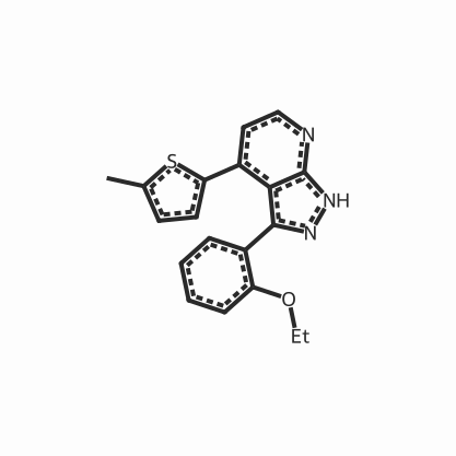 CCOc1ccccc1-c1n[nH]c2nccc(-c3ccc(C)s3)c12